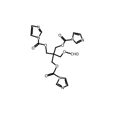 O=COCC(COC(=O)n1ccnc1)(COC(=O)n1ccnc1)COC(=O)n1ccnc1